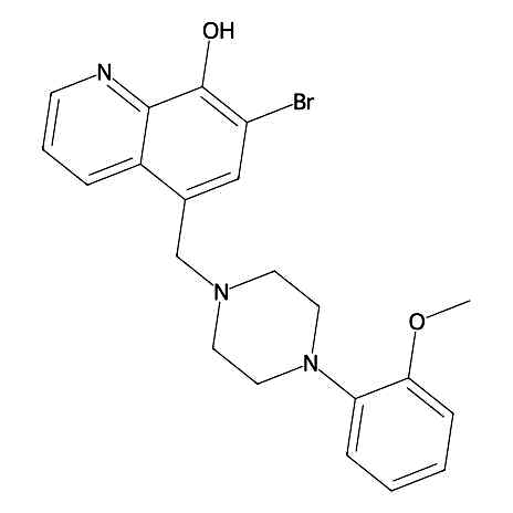 COc1ccccc1N1CCN(Cc2cc(Br)c(O)c3ncccc23)CC1